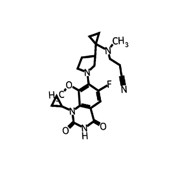 COc1c(N2CCC(C3(N(C)CCC#N)CC3)C2)c(F)cc2c(=O)[nH]c(=O)n(C3CC3)c12